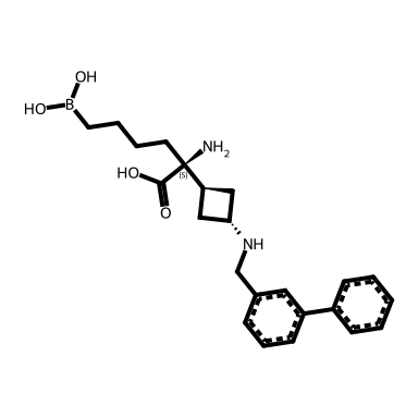 N[C@](CCCCB(O)O)(C(=O)O)[C@H]1C[C@H](NCc2cccc(-c3ccccc3)c2)C1